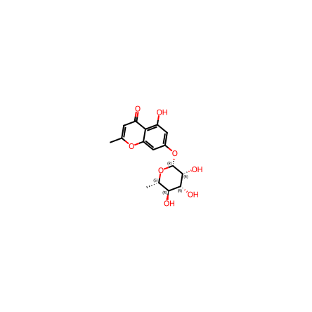 Cc1cc(=O)c2c(O)cc(O[C@H]3O[C@@H](C)[C@H](O)[C@@H](O)[C@H]3O)cc2o1